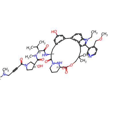 CCn1c(-c2cnccc2COC)c2c3cc(ccc31)-c1cc(O)cc(c1)C[C@H](NC(=O)[C@H](C(C)C)N(C)C(=O)[C@@]1(O)CCN(C(=O)C#CCN(C)C)C1)C(=O)N1CCC[C@@](O)(N1)C(=O)OCC(C)(C)C2